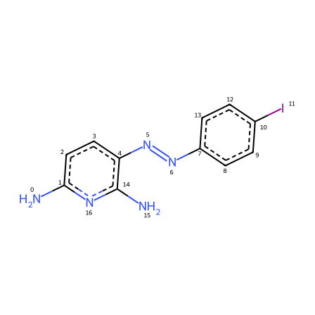 Nc1ccc(N=Nc2ccc(I)cc2)c(N)n1